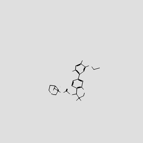 CCOc1cc(-c2ccc3c(c2)OCC(C)(C)C3NC(=O)O[C@H]2CN3CCC2CC3)c(Cl)cc1Cl